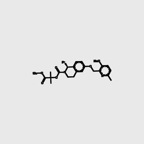 COc1ccc(C)nc1COc1ccc2c(c1)CCN(C(=O)OC(C)(C)C(=O)OC(C)(C)C)[C@H]2C(C)C